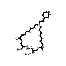 CCCCCCC(CCCCC)COC(=O)CCCCCCCN(CCCCCCCC(=O)OCC(CCCCC)CCCCCC)CCC1CCNCC1